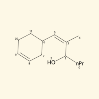 CCCC(O)C(C)=[C]C1CC=CCC1